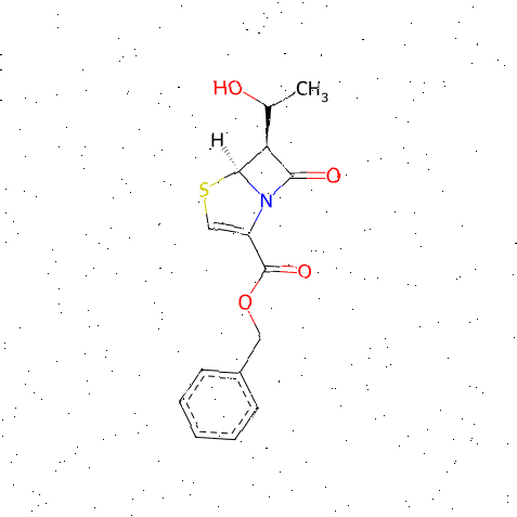 CC(O)[C@H]1C(=O)N2C(C(=O)OCc3ccccc3)=CS[C@@H]12